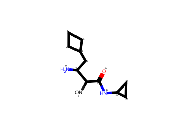 NC(CC1CCC1)C(N=O)C(=O)NC1CC1